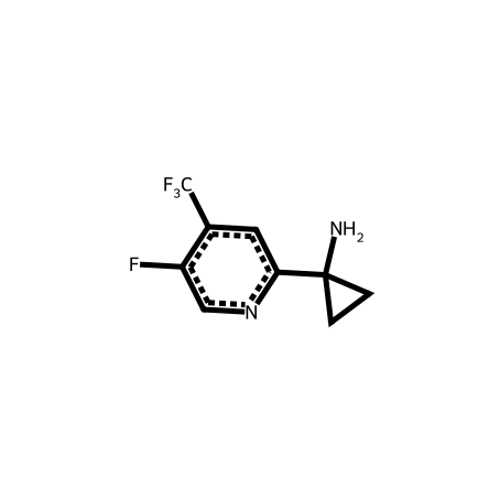 NC1(c2cc(C(F)(F)F)c(F)cn2)CC1